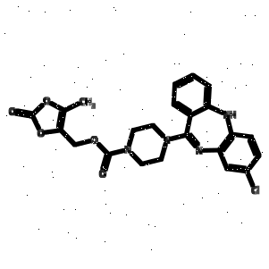 Cc1oc(=O)oc1COC(=O)N1CCN(C2=Nc3cc(Cl)ccc3Nc3ccccc32)CC1